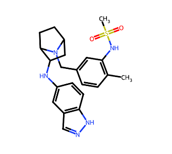 Cc1ccc(CN2C3CCC2C(Nc2ccc4[nH]ncc4c2)C3)cc1NS(C)(=O)=O